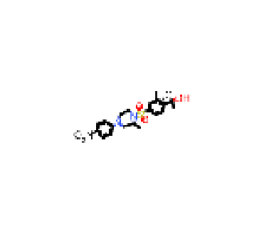 CC1CN(c2ccc([N+](=O)[O-])cc2)CCN1S(=O)(=O)c1ccc(C(C)(O)C(F)(F)F)cc1